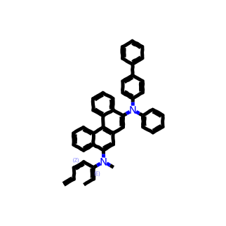 C=C/C=C\C(=C/C)N(C)c1cc2cc(N(c3ccccc3)c3ccc(-c4ccccc4)cc3)c3ccccc3c2c2ccccc12